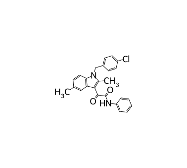 Cc1ccc2c(c1)c(C(=O)C(=O)Nc1ccccc1)c(C)n2Cc1ccc(Cl)cc1